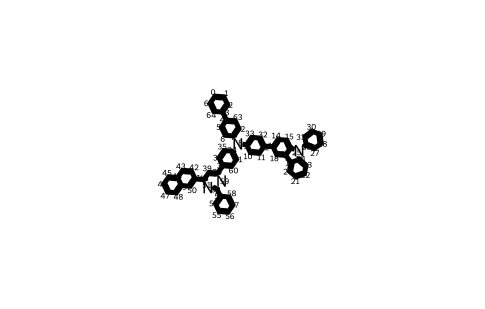 c1ccc(-c2ccc(N(c3ccc(-c4ccc5c(c4)c4ccccc4n5-c4ccccc4)cc3)c3ccc(-c4cc(-c5ccc6ccccc6c5)nc(-c5ccccc5)n4)cc3)cc2)cc1